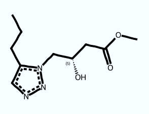 CCCc1cnnn1C[C@@H](O)CC(=O)OC